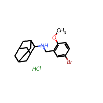 COc1ccc(Br)cc1CNC1C2CC3CC(C2)CC1C3.Cl